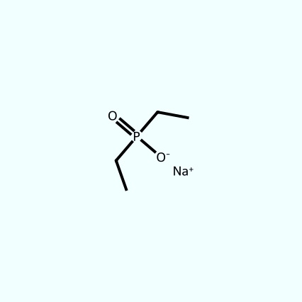 CCP(=O)([O-])CC.[Na+]